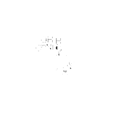 CS(=O)(=O)C1CCC(CNC(=O)O)C(O)C1